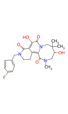 CN1CC(O)C(C)(C)Cn2c(c3c(c(O)c2=O)C(=O)N(Cc2ccc(F)cc2)CC3)C1=O